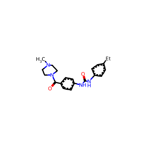 CCc1ccc(NC(=O)Nc2ccc(C(=O)N3CCN(C)CC3)cc2)cc1